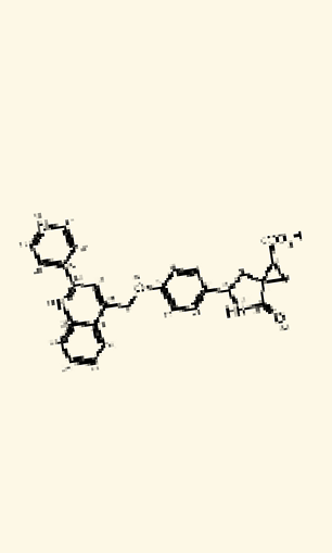 O=C(O)[C@H]1C[C@@]12CC(c1ccc(OCc3cc(-c4ccncc4)nc4ccccc34)cc1)NC2=O